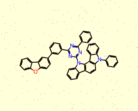 c1ccc(-c2nc(-c3cccc(-c4ccc5oc6ccccc6c5c4)c3)nc(-n3c4ccccc4c4ccc5c(c6ccccc6n5-c5ccccc5)c43)n2)cc1